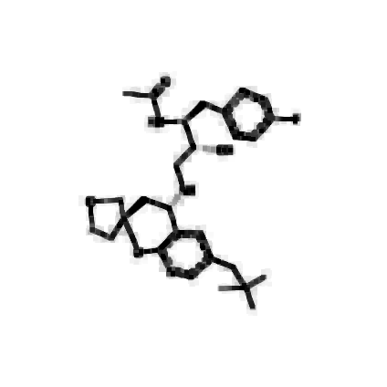 CC(=O)N[C@@H](Cc1ccc(F)cc1)[C@H](O)CN[C@H]1C[C@]2(CCOC2)Oc2ncc(CC(C)(C)C)cc21